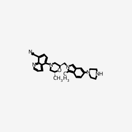 Cc1c2ccc(N3CCNCC3)cc2cn1C[C@@H]1CN(c2ccc(C#N)c3ncccc23)C[C@@H](C)O1